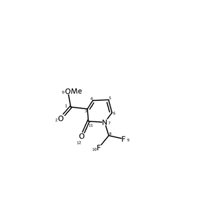 COC(=O)c1cccn(C(F)F)c1=O